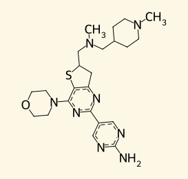 CN1CCC(CN(C)CC2Cc3nc(-c4cnc(N)nc4)nc(N4CCOCC4)c3S2)CC1